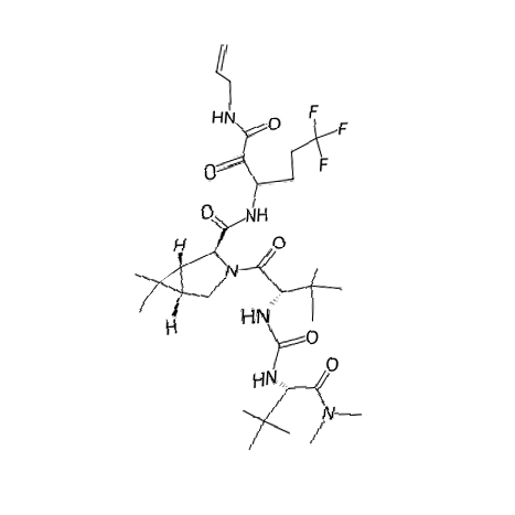 C=CCNC(=O)C(=O)C(CCC(F)(F)F)NC(=O)[C@@H]1[C@@H]2[C@H](CN1C(=O)[C@@H](NC(=O)N[C@H](C(=O)N(C)C)C(C)(C)C)C(C)(C)C)C2(C)C